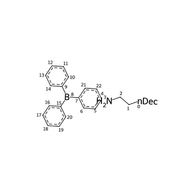 CCCCCCCCCCCCN.c1ccc(B(c2ccccc2)c2ccccc2)cc1